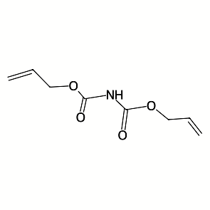 C=CCOC(=O)NC(=O)OCC=C